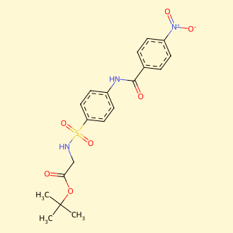 CC(C)(C)OC(=O)CNS(=O)(=O)c1ccc(NC(=O)c2ccc([N+](=O)[O-])cc2)cc1